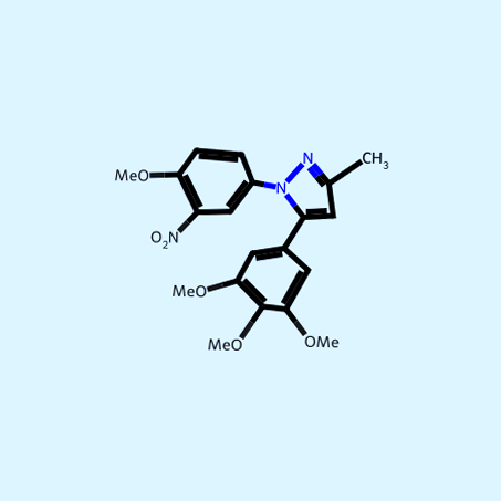 COc1ccc(-n2nc(C)cc2-c2cc(OC)c(OC)c(OC)c2)cc1[N+](=O)[O-]